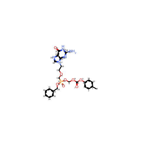 Cc1ccc(OC(=O)OCOP(=O)(COCCn2cnc3c(=O)[nH]c(N)nc32)OCc2ccccc2)cc1